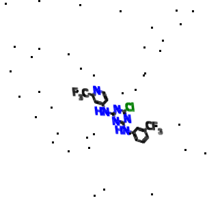 FC(F)(F)c1cccc(Nc2nc(Cl)nc(Nc3ccnc(C(F)(F)F)c3)n2)c1